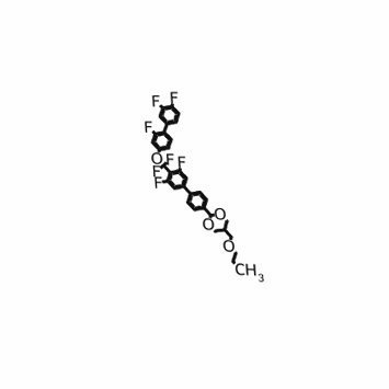 CCCOCC1COC(c2ccc(-c3cc(F)c(C(F)(F)Oc4ccc(-c5ccc(F)c(F)c5)c(F)c4)c(F)c3)cc2)OC1